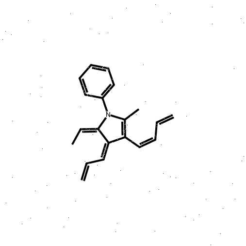 C=C/C=C\c1c(C)n(-c2ccccc2)c(=C/C)/c1=C\C=C